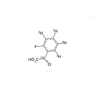 [2H]c1c([2H])c([2H])c([13C](=O)C(=O)O)c(F)c1[2H]